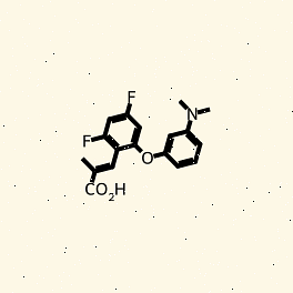 CC(=Cc1c(F)cc(F)cc1Oc1cccc(N(C)C)c1)C(=O)O